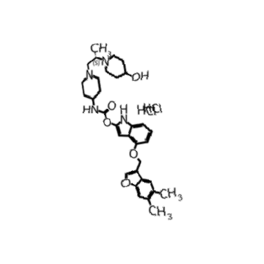 Cc1cc2occ(COc3cccc4[nH]c(OC(=O)NC5CCN(C[C@H](C)N6CCC(O)CC6)CC5)cc34)c2cc1C.Cl.Cl